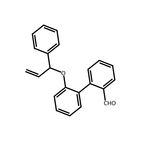 C=CC(Oc1ccccc1-c1ccccc1C=O)c1ccccc1